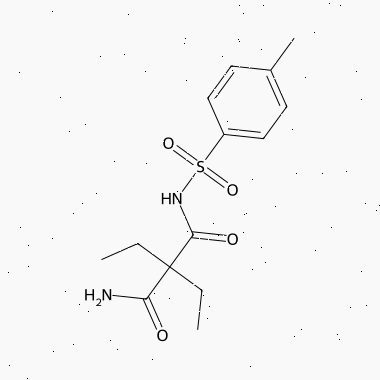 CCC(CC)(C(N)=O)C(=O)NS(=O)(=O)c1ccc(C)cc1